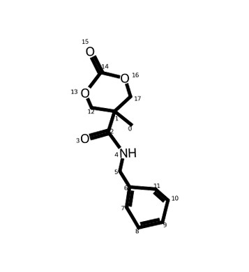 CC1(C(=O)NCc2ccccc2)COC(=O)OC1